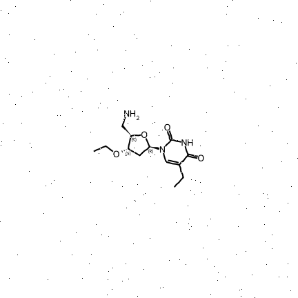 CCO[C@H]1C[C@H](n2cc(CC)c(=O)[nH]c2=O)O[C@@H]1CN